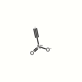 [C]#C[N+](=O)[O-]